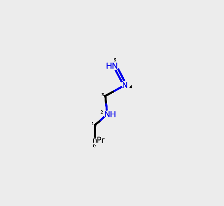 CCCCNCN=N